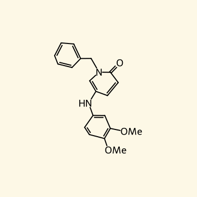 COc1ccc(Nc2ccc(=O)n(Cc3ccccc3)c2)cc1OC